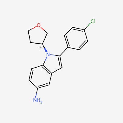 Nc1ccc2c(c1)cc(-c1ccc(Cl)cc1)n2[C@H]1CCOC1